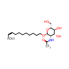 CCCCCCCC/C=C\CCCCCCCCO[C@H]1O[C@H](CO)[C@@H](O)[C@H](O)[C@@H]1NC(=O)C(F)(F)F